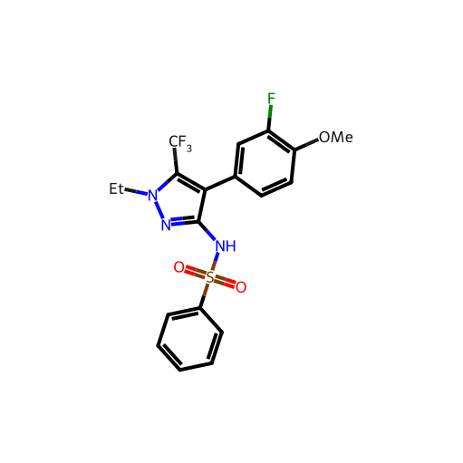 CCn1nc(NS(=O)(=O)c2ccccc2)c(-c2ccc(OC)c(F)c2)c1C(F)(F)F